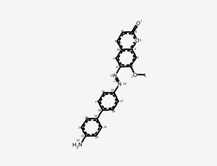 COc1cc2oc(=O)ccc2cc1/N=N/c1ccc(-c2ccc(N)cc2)cc1